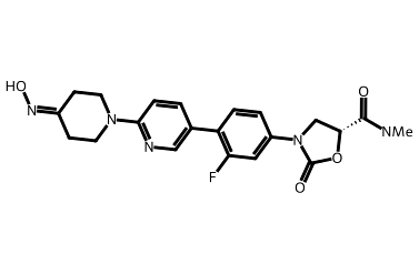 CNC(=O)[C@H]1CN(c2ccc(-c3ccc(N4CCC(=NO)CC4)nc3)c(F)c2)C(=O)O1